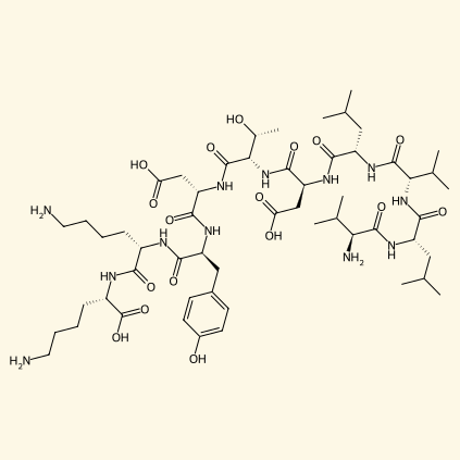 CC(C)C[C@H](NC(=O)[C@@H](N)C(C)C)C(=O)N[C@H](C(=O)N[C@@H](CC(C)C)C(=O)N[C@@H](CC(=O)O)C(=O)N[C@H](C(=O)N[C@@H](CC(=O)O)C(=O)N[C@@H](Cc1ccc(O)cc1)C(=O)N[C@@H](CCCCN)C(=O)N[C@@H](CCCCN)C(=O)O)[C@@H](C)O)C(C)C